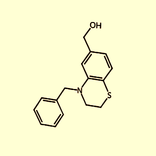 OCc1ccc2c(c1)N(Cc1ccccc1)CCS2